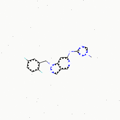 Cn1cnc(Nc2cc3c(cn2)cnn3Cc2cc(F)ccc2F)n1